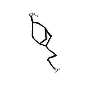 CC1CC2CC1CC2CCS